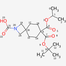 CC(C)OC(=O)C1(C(=O)OC(C)(C)C)CCC2(CC1)CN(C(=O)O)C2